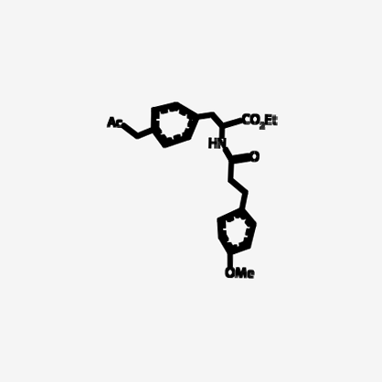 CCOC(=O)C(Cc1ccc(CC(C)=O)cc1)NC(=O)CCc1ccc(OC)cc1